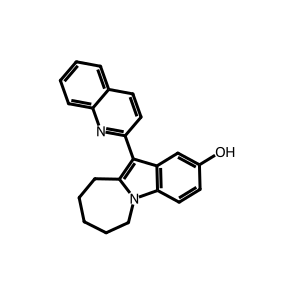 Oc1ccc2c(c1)c(-c1ccc3ccccc3n1)c1n2CCCCC1